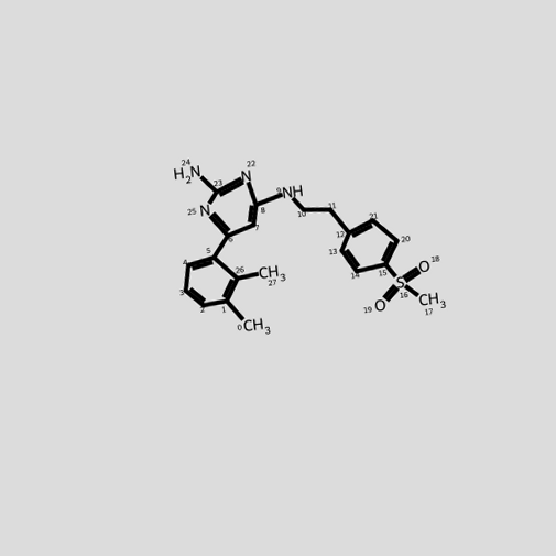 Cc1cccc(-c2cc(NCCc3ccc(S(C)(=O)=O)cc3)nc(N)n2)c1C